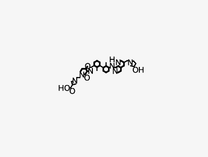 Cc1c(Nc2nccc3cc(CN4CC[C@@H](O)C4)cnc23)cccc1-c1cccc(-c2nc3c(=O)n(CCN4CC(C(=O)O)C4)ccc3o2)c1C